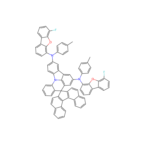 Cc1ccc(N(c2ccc3c(c2)c2cc(N(c4ccc(C)cc4)c4cccc5c4oc4c(F)cccc45)cc4c2n3-c2ccccc2C42c3ccc4ccccc4c3-c3c2ccc2ccccc32)c2cccc3c2oc2c(F)cccc23)cc1